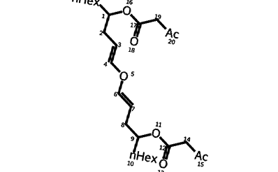 CCCCCCC(CC=COC=CCC(CCCCCC)OC(=O)CC(C)=O)OC(=O)CC(C)=O